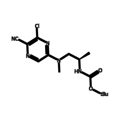 C[C@H](CN(C)c1cnc(C#N)c(Cl)n1)NC(=O)OC(C)(C)C